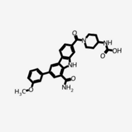 COc1cccc(-c2cc(C(N)=O)c3[nH]c4cc(C(=O)N5CCC(NC(=O)O)CC5)ccc4c3c2)c1